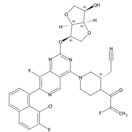 C=C(F)C(=O)C1CCN(c2nc(O[C@@H]3CO[C@H]4[C@@H]3OC[C@H]4O)nc3c(F)c(-c4cccc5ccc(F)c(Cl)c45)ncc23)C[C@@H]1CC#N